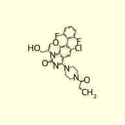 C=CC(=O)N1CCN(c2nc(=O)n3c4c(c(-c5c(F)cccc5F)c(Cl)cc24)OC=C3CO)CC1